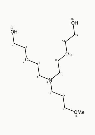 COCCCN(CCOCCO)CCOCCO